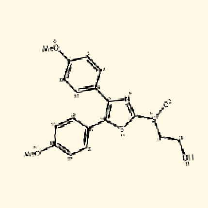 COc1ccc(-c2nc([S+]([O-])CCO)sc2-c2ccc(OC)cc2)cc1